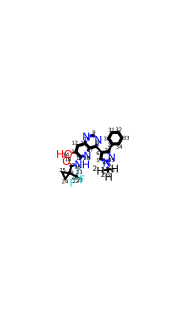 [2H]C([2H])([2H])n1cc(-c2ncnc3cc(O)c(NC(=O)C4(C(F)(F)F)CC4)nc23)c(-c2ccccc2)n1